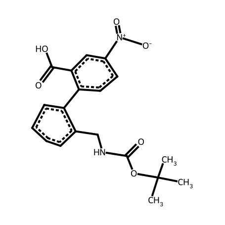 CC(C)(C)OC(=O)NCc1ccccc1-c1ccc([N+](=O)[O-])cc1C(=O)O